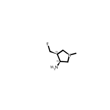 CN1C[C@H](CF)[C@H](N)C1